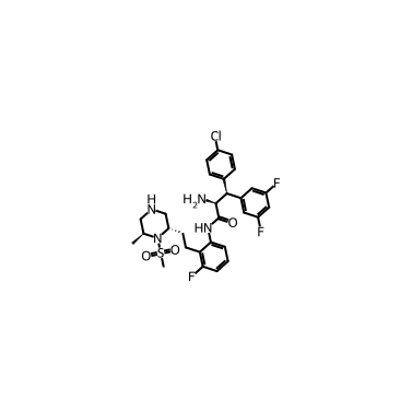 C[C@H]1CNC[C@H](CCc2c(F)cccc2NC(=O)[C@@H](N)[C@@H](c2ccc(Cl)cc2)c2cc(F)cc(F)c2)N1S(C)(=O)=O